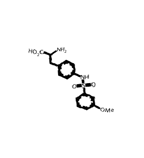 COc1cccc(S(=O)(=O)Nc2ccc(CC(N)C(=O)O)cc2)c1